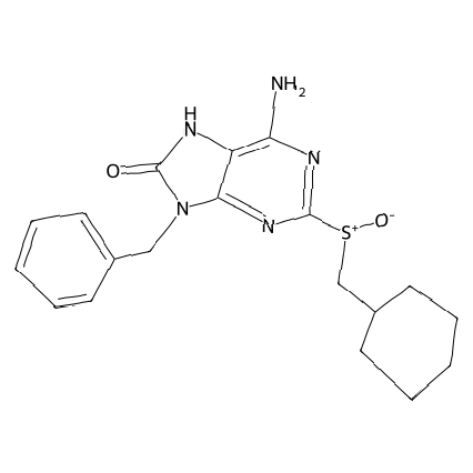 Nc1nc([S+]([O-])CC2CCCCC2)nc2c1[nH]c(=O)n2Cc1ccccc1